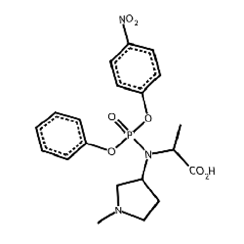 CC(C(=O)O)N(C1CCN(C)C1)P(=O)(Oc1ccccc1)Oc1ccc([N+](=O)[O-])cc1